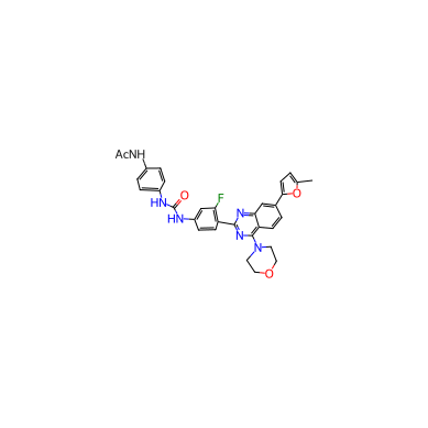 CC(=O)Nc1ccc(NC(=O)Nc2ccc(-c3nc(N4CCOCC4)c4ccc(-c5ccc(C)o5)cc4n3)c(F)c2)cc1